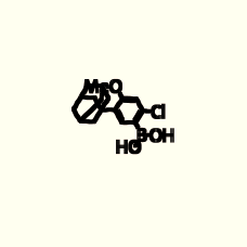 COc1cc(Cl)c(B(O)O)cc1C12CC3CC(CC(C3)C1)C2